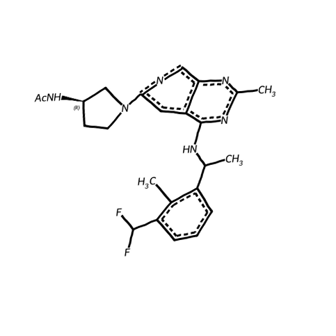 CC(=O)N[C@@H]1CCN(c2cc3c(NC(C)c4cccc(C(F)F)c4C)nc(C)nc3cn2)C1